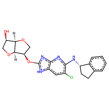 O[C@@H]1CO[C@H]2[C@@H]1OC[C@H]2Oc1nc2nc(N[C@H]3CCc4ccccc43)c(Cl)cc2[nH]1